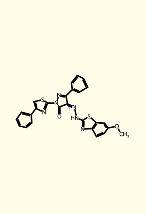 COc1ccc2nc(N/N=C3\C(=O)N(c4nc(-c5ccccc5)cs4)N=C3c3ccccc3)sc2c1